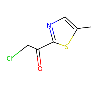 Cc1cnc(C(=O)CCl)s1